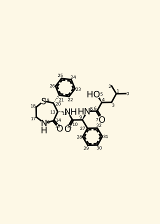 CC(C)C[C@H](O)C(=O)N[C@H](C(=O)N[C@@H]1C(=O)NCCS[C@@H]1c1ccccc1)c1ccccc1